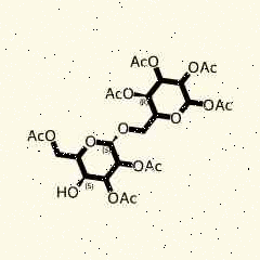 CC(=O)OCC1O[C@H](OCC2OC(OC(C)=O)C(OC(C)=O)C(OC(C)=O)[C@@H]2OC(C)=O)C(OC(C)=O)C(OC(C)=O)[C@H]1O